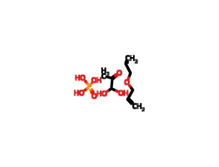 C=CCOCC=C.CC(=O)C(O)O.O=P(O)(O)O